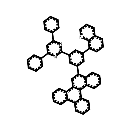 c1ccc(-c2cc(-c3ccccc3)nc(-c3cc(-c4cc5c6ccccc6c6ccccc6c5c5ccccc45)cc(-c4cccc5cccnc45)c3)n2)cc1